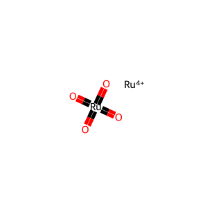 [O]=[Ru](=[O])(=[O])=[O].[Ru+4]